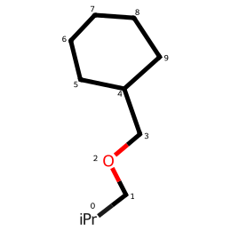 CC(C)COCC1CCCCC1